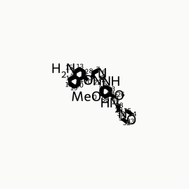 COc1cc(Nc2nccc(Oc3ccc(N)c4ccccc34)n2)cc(C(=O)NCCN2CCOCC2)c1